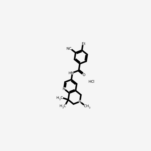 CCc1ccc(C(=O)Nc2cnc3c(c2)CN(C)CC3(C)C)cc1C#N.Cl